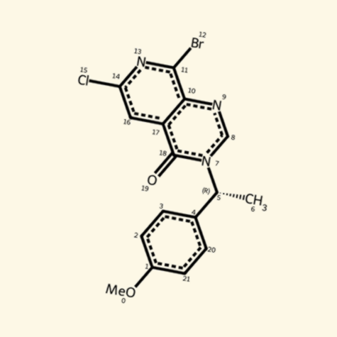 COc1ccc([C@@H](C)n2cnc3c(Br)nc(Cl)cc3c2=O)cc1